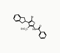 CCOC(=O)c1c(NC(=O)c2ccccc2)sc(Br)c1C1Cc2ccccc2C1